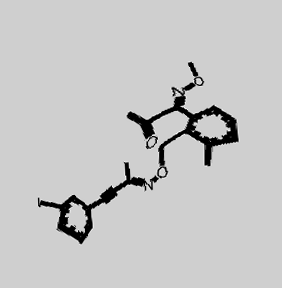 CO/N=C(/C(C)=O)c1cccc(C)c1CO/N=C(\C)C#Cc1cccc(I)c1